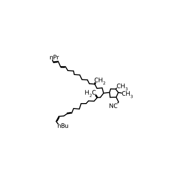 C=C(CCCCCCC/C=C/C=C/CCC)CCC(CC(=C)CCCCCC/C=C/C/C=C\CCCC)C1CC(C)C(C)C(CC#N)C1